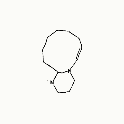 C1=CN2CCCNC2CCCCCC1